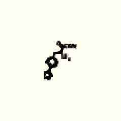 COC(=O)[C@H](N)Cc1ccc(-c2ccsc2)cc1